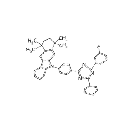 CC1(C)CCC(C)(C)c2cc3c(cc21)c1ccccc1n3-c1ccc(-c2nc(-c3ccccc3)nc(-c3cccc(F)c3)n2)cc1